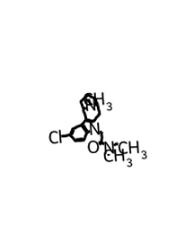 CCN(C)C(=O)Cn1c2c(c3cc(Cl)ccc31)C1CCCC(C2)N1C